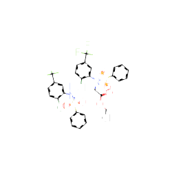 CCOC(=O)CN(c1cc(C(F)(F)F)ccc1Cl)S(=O)(=O)c1ccccc1.O=S(=O)(Nc1cc(C(F)(F)F)ccc1Cl)c1ccccc1